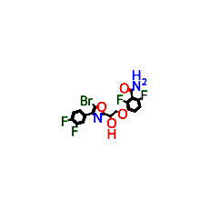 NC(=O)c1c(F)ccc(OCC(O)c2nc(-c3ccc(F)c(F)c3)c(Br)o2)c1F